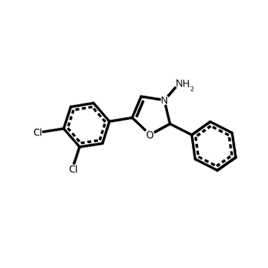 NN1C=C(c2ccc(Cl)c(Cl)c2)OC1c1ccccc1